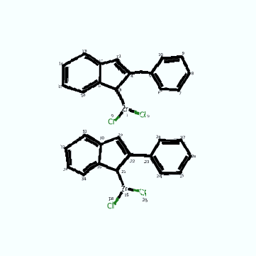 [Cl][Zr]([Cl])[CH]1C(c2ccccc2)=Cc2ccccc21.[Cl][Zr]([Cl])[CH]1C(c2ccccc2)=Cc2ccccc21